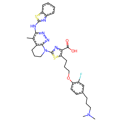 Cc1c(Nc2nc3ccccc3s2)nnc2c1CCCN2c1nc(C(=O)O)c(CCCOc2ccc(CCCN(C)C)cc2F)s1